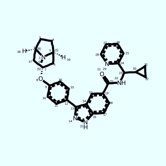 CN1[C@@H]2CC[C@H]1C[C@H](Oc1ccc(-c3n[nH]c4ccc(C(=O)NC(c5ccccn5)C5CC5)cc34)cc1)C2